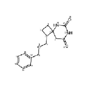 O=C1CC2(CCC2COCc2ccccc2)NC(=O)N1